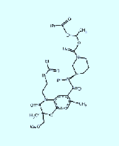 CCC(=O)NCCN1C(=O)[C@](C)(COC)Oc2cc(C)c(C(=O)N(C(C)C)[C@@H]3CCCN(C(=O)OC(C)OC(=O)C(C)C)C3)cc21